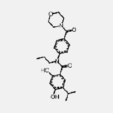 CCCN(C(=O)c1cc(C(C)C)c(O)cc1O)c1ccc(C(=O)N2CCOCC2)cc1